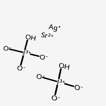 [Ag+].[O-][I+3]([O-])([O-])O.[O-][I+3]([O-])([O-])O.[Sr+2]